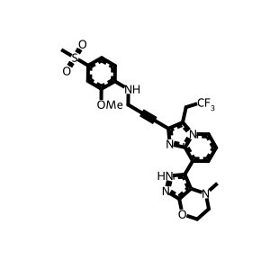 COc1cc(S(C)(=O)=O)ccc1NCC#Cc1nc2c(-c3[nH]nc4c3N(C)CCO4)cccn2c1CC(F)(F)F